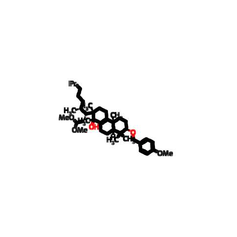 COc1ccc(CO[C@H]2CC[C@]3(C)C4=C(CC[C@H]3C2(C)C)[C@](C)(O)[C@@](C)([C@H](CC(OC)OC)[C@H](C)CCCC(C)C)CC4)cc1